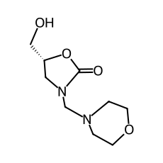 O=C1O[C@@H](CO)CN1CN1CCOCC1